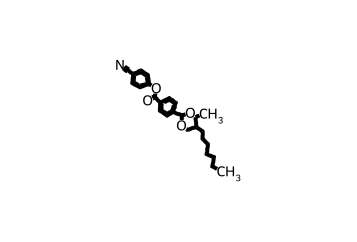 CCCCCCCC1COC(c2ccc(C(=O)Oc3ccc(C#N)cc3)cc2)OC1C